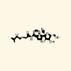 CC(C)C(=O)CSCC(=O)Nc1ncnn2c([C@]3(C#N)O[C@H](CO)[C@@H](O)[C@H]3O)ccc12